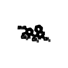 COc1ccc(N(C)c2nc(C)nc3ccccc23)cc1CC(=O)O